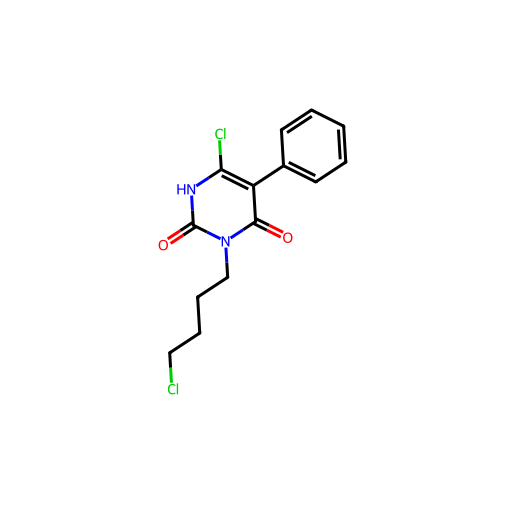 O=c1[nH]c(Cl)c(-c2ccccc2)c(=O)n1CCCCCl